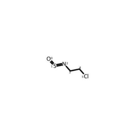 O=S=NCCCl